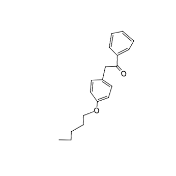 CCCCCOc1ccc(CC(=O)c2ccccc2)cc1